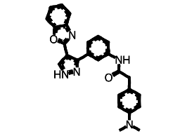 CN(C)c1ccc(CC(=O)Nc2cccc(-c3n[nH]cc3-c3nc4ccccc4o3)c2)cc1